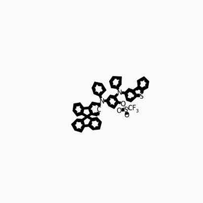 O=S(=O)(Oc1ccc(N(c2ccccc2)c2ccc3c(c2)-c2ccccc2C32c3ccccc3-c3ccccc32)cc1N(c1ccccc1)c1ccc2sc3ccccc3c2c1)C(F)(F)F